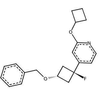 F[C@]1(c2ccnc(OC3CCC3)c2)C[C@@H](OCc2ccccc2)C1